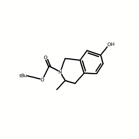 CC1Cc2ccc(O)cc2CN1C(=O)OC(C)(C)C